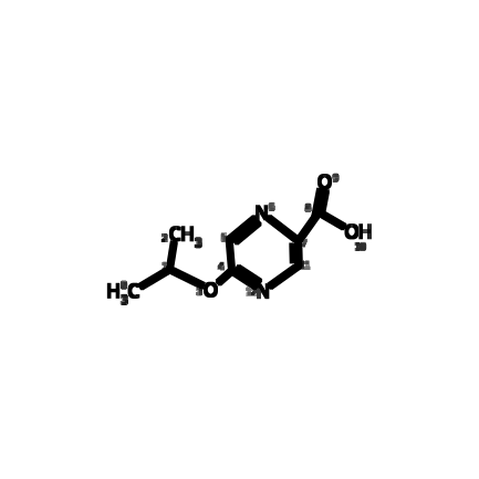 CC(C)Oc1cnc(C(=O)O)cn1